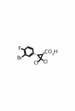 O=C(O)[C@@H]1[C@@H](c2ccc(F)c(Br)c2)C1(Cl)Cl